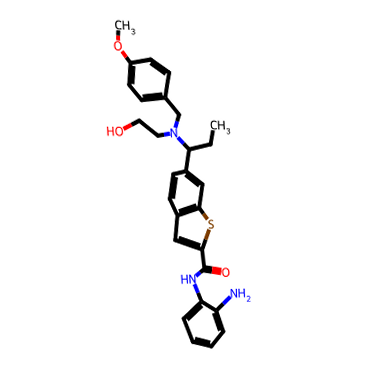 CCC(c1ccc2cc(C(=O)Nc3ccccc3N)sc2c1)N(CCO)Cc1ccc(OC)cc1